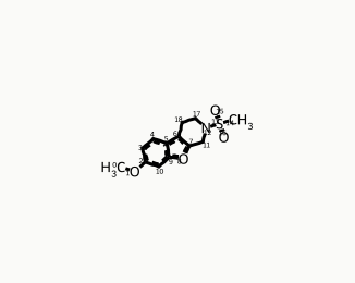 COc1ccc2c3c(oc2c1)CN(S(C)(=O)=O)CC3